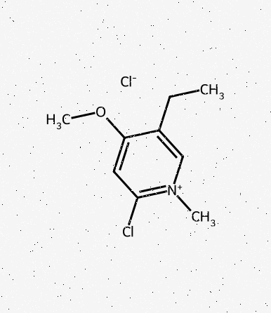 CCc1c[n+](C)c(Cl)cc1OC.[Cl-]